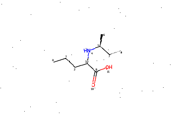 CCCC(N[C@@H](C)CC)C(=O)O